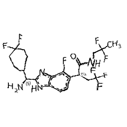 CC(F)(F)CNC(=O)[C@@H](CC(F)(F)F)c1ccc2[nH]c([C@@H](N)C3CCC(F)(F)CC3)nc2c1F